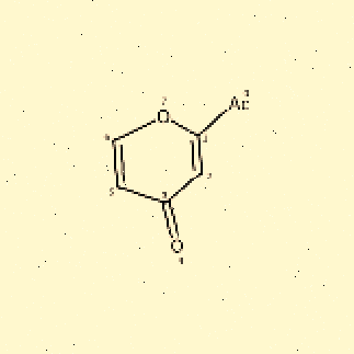 CC(=O)c1cc(=O)cco1